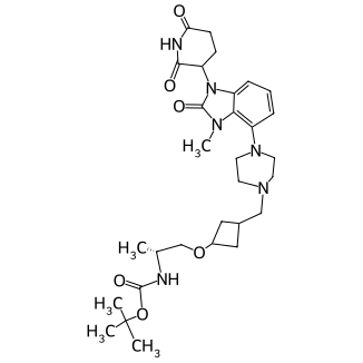 C[C@H](COC1CC(CN2CCN(c3cccc4c3n(C)c(=O)n4C3CCC(=O)NC3=O)CC2)C1)NC(=O)OC(C)(C)C